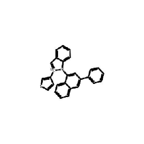 c1ccc(-c2cc(-n3c4ccccc4c[13c]3-c3ccsc3)c3ccccc3c2)cc1